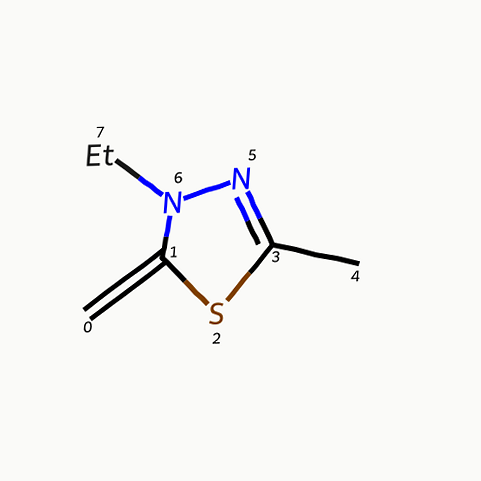 C=C1SC(C)=NN1CC